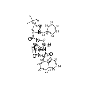 CC(C)(C)c1cc(C(=O)N2C[C@@H]3C[C@@H]2[C@@H]2C(=O)N(c4cccc5ccccc45)C(=O)N32)n(Cc2ccccc2)n1